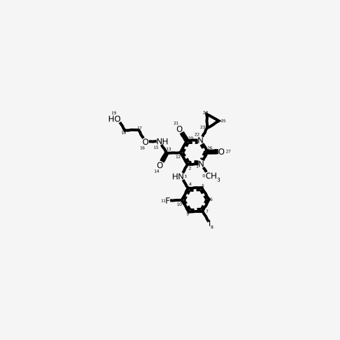 Cn1c(Nc2ccc(I)cc2F)c(C(=O)NOCCO)c(=O)n(C2CC2)c1=O